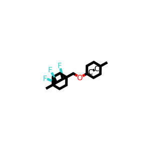 CC12CCC(OCC34CCC(C)(CC3)C(F)(F)C4F)(CC1)CC2